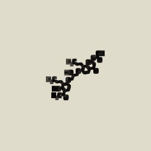 CCCc1c(OCC(O)COc2ccc3c(=O)cc(OC(=O)O)oc3c2CCC)ccc(C(C)=O)c1O